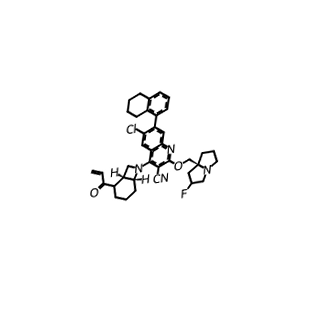 C=CC(=O)C1CCC[C@@H]2[C@H]1CN2c1c(C#N)c(OC[C@@]23CCCN2CC(F)C3)nc2cc(-c3cccc4c3CCCC4)c(Cl)cc12